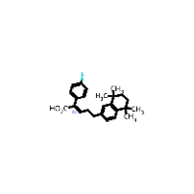 CC1(C)CCC(C)(C)c2cc(CC/C=C(/C(=O)O)c3ccc(F)cc3)ccc21